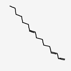 C=CC=CCCCCC=CCCCCCC